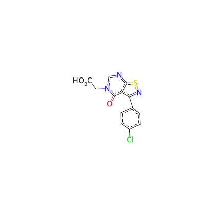 O=C(O)Cn1cnc2snc(-c3ccc(Cl)cc3)c2c1=O